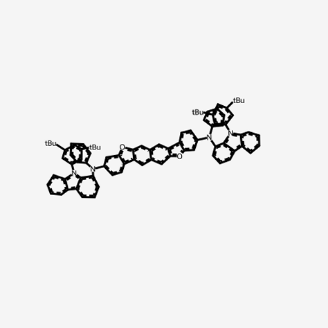 CC(C)(C)c1cc(-n2c3ccccc3c3cccc(N(c4ccccc4)c4ccc5c(c4)oc4cc6cc7c(cc6cc45)oc4cc(N(c5ccccc5)c5cccc6c8ccccc8n(-c8cc(C(C)(C)C)cc(C(C)(C)C)c8)c56)ccc47)c32)cc(C(C)(C)C)c1